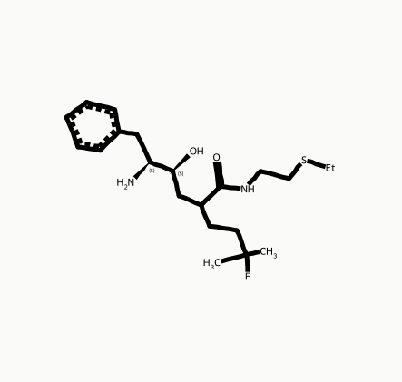 CCSCCNC(=O)C(CCC(C)(C)F)C[C@H](O)[C@@H](N)Cc1ccccc1